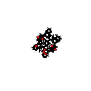 c1ccc(-c2cc(-c3c(-n4c5ccccc5c5ccccc54)c(-n4c5ccccc5c5ccccc54)c(-c4cc(-c5ccccc5)nc(-c5ccccc5)c4)c(-n4c5ccccc5c5ccccc54)c3-n3c4ccccc4c4ccccc43)cc(-c3ccccc3)n2)cc1